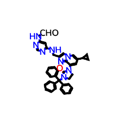 O=CNc1cc(NCc2cn3cc(C4CC4)cc(N4CCN(C(c5ccccc5)(c5ccccc5)c5ccccc5)C4=O)c3n2)ncn1